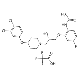 CC(=O)Nc1ccc(F)cc1OC[C@@H](O)CN1CCC(Oc2ccc(Cl)c(Cl)c2)CC1.O=C(O)C(F)(F)F